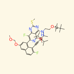 COCOc1cc(-c2nc(OC)c3c(NCCO[Si](C)(C)C(C)(C)C)nc(SC)nc3c2F)c2c(C#C[Si](C(C)C)(C(C)C)C(C)C)c(F)ccc2c1